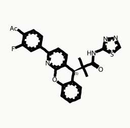 CC(=O)c1ccc(-c2ccc3c(n2)Oc2ccccc2[C@@H]3C(C)(C)C(=O)Nc2nncs2)cc1F